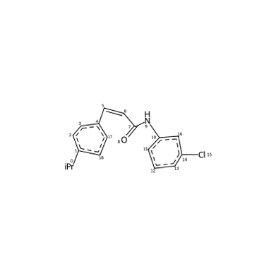 CC(C)c1ccc(/C=C\C(=O)Nc2cccc(Cl)c2)cc1